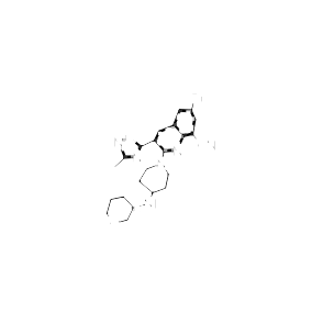 CCc1cc(C#N)c2nc(N3CCC(N[C@@H]4CCCOC4)CC3)c(-c3nc(C)no3)cc2c1